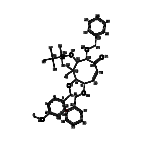 COc1ccc(COC2C(OCc3ccccc3)/C=C\C(=O)C(OCc3ccccc3)C(O[Si](C)(C)C(C)(C)C)C2(C)C)cc1